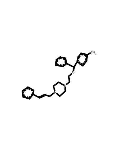 Cc1ccc(C(OCCN2CCN(CC=Cc3ccccc3)CC2)c2ccccc2)cc1